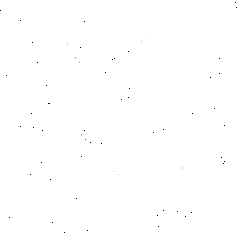 CCN(C[C@@]1(C)CCc2cc(Br)c(C)nc2N1)C(=O)OC(C)(C)C